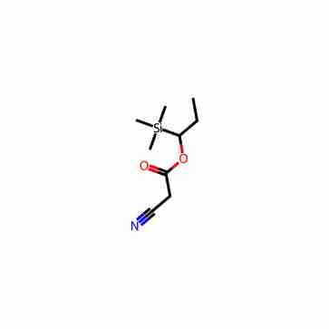 CCC(OC(=O)CC#N)[Si](C)(C)C